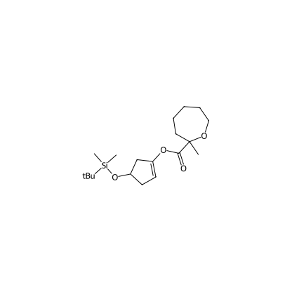 CC1(C(=O)OC2=CCC(O[Si](C)(C)C(C)(C)C)C2)CCCCCO1